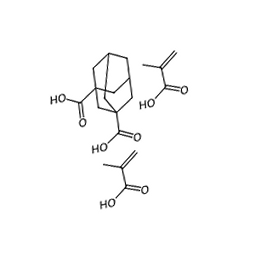 C=C(C)C(=O)O.C=C(C)C(=O)O.O=C(O)C12CC3CC(C1)CC(C(=O)O)(C3)C2